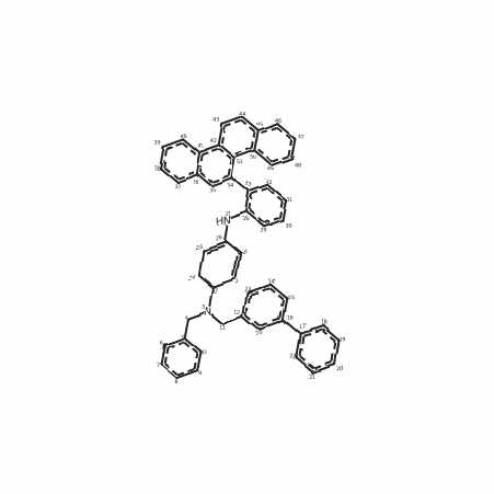 C1=CC(N(Cc2ccccc2)Cc2cccc(-c3ccccc3)c2)CC=C1Nc1ccccc1-c1cc2ccccc2c2ccc3ccccc3c12